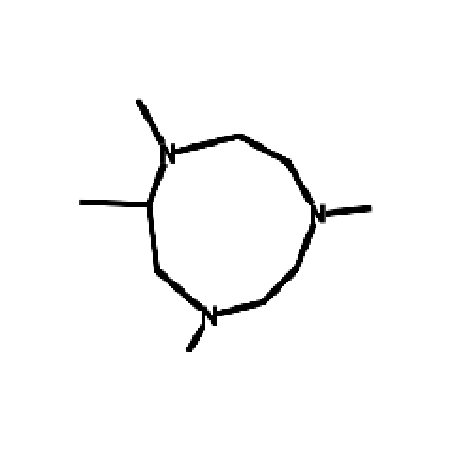 CC1CN(C)CCN(C)CCN1C